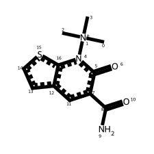 C[N+](C)(C)n1c(=O)c(C(N)=O)cc2ccsc21